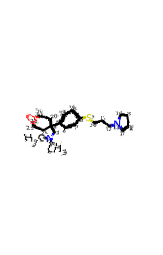 CN(C)CC1(c2ccc(SCCCN3CCCC3)cc2)CCOCC1